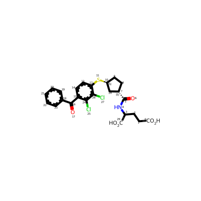 O=C(O)CCC(NC(=O)[C@H]1CC[C@H](Sc2ccc(C(=O)c3ccccc3)c(Cl)c2Cl)C1)C(=O)O